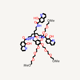 COCCOCCOCCOc1cc(CNC(=O)C(CCCNC(=O)c2ccc3cccnc3c2O)(CCCNC(=O)c2ccc3cccnc3c2O)CCCNC(=O)c2ccc3cccnc3c2O)cc(OCCOCCOCCOC)c1OCCOCCOCCOC